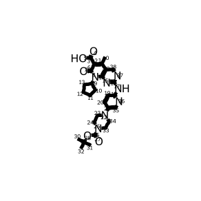 Cc1c(C(=O)O)c(=O)n(C2CCCC2)c2nc(Nc3ccc(N4CCN(C(=O)OC(C)(C)C)CC4)cn3)ncc12